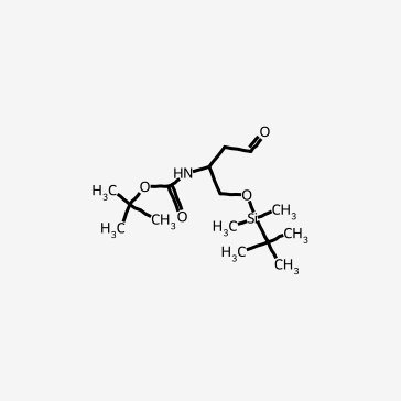 CC(C)(C)OC(=O)NC(CC=O)CO[Si](C)(C)C(C)(C)C